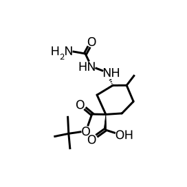 CC1CC[C@](C(=O)O)(C(=O)OC(C)(C)C)C[C@@H]1NNC(N)=O